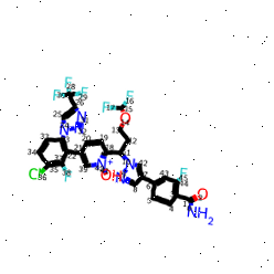 NC(=O)c1ccc(-c2cnn(C(CCOC(F)F)c3ccc(-c4c(-n5cc(C(F)(F)F)nn5)ccc(Cl)c4F)c[n+]3O)c2)cc1F